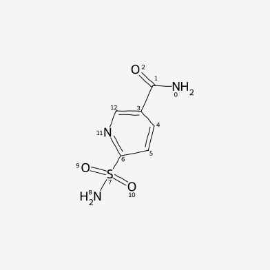 NC(=O)c1ccc(S(N)(=O)=O)nc1